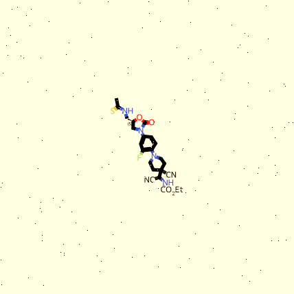 CCOC(=O)NC(C#N)C1(C#N)CCN(c2ccc(N3C[C@H](CNC(C)=S)OC3=O)cc2F)CC1